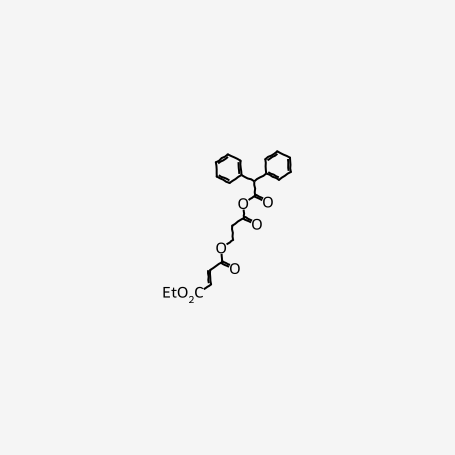 CCOC(=O)/C=C/C(=O)OCCC(=O)OC(=O)C(c1ccccc1)c1ccccc1